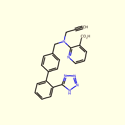 C#CCN(Cc1ccc(-c2ccccc2-c2nnn[nH]2)cc1)c1ncccc1C(=O)O